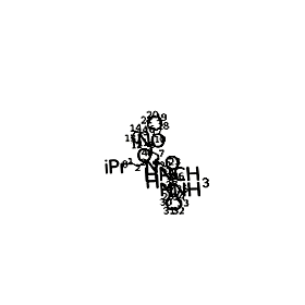 CC(C)CCC(=O)N[C@@H](CCC(=O)N1CCC[C@@H]1c1ccccc1)C(=O)N[C@H](C)c1nc2ccccc2[nH]1